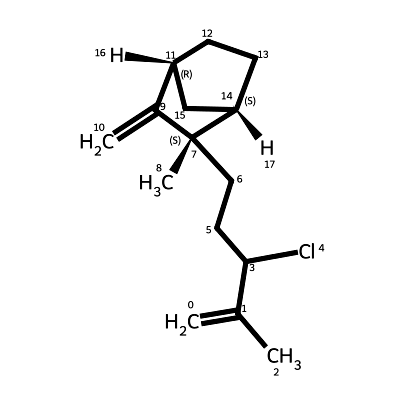 C=C(C)C(Cl)CC[C@]1(C)C(=C)[C@@H]2CC[C@H]1C2